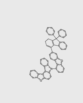 C1=C(c2ccc3c(c2)oc2cccc(-n4c5ccccc5c5c6c(ccc54)oc4ccccc46)c23)C2=C(CC1)C(c1ccccc1)(c1ccccc1)c1ccccc12